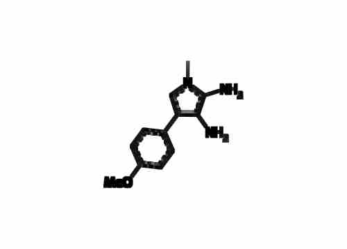 COc1ccc(-c2cn(C)c(N)c2N)cc1